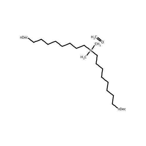 C=O.CCCCCCCCCCCCCCCCCC[N+](C)(C)CCCCCCCCCCCCCCCCCC